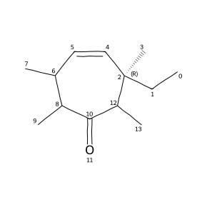 CC[C@]1(C)C=CC(C)C(C)C(=O)C1C